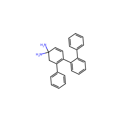 NC1(N)C=CC(c2ccccc2-c2ccccc2)=C(c2ccccc2)C1